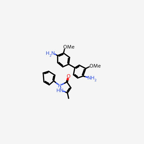 COc1cc(-c2ccc(N)c(OC)c2)ccc1N.Cc1cc(=O)n(-c2ccccc2)[nH]1